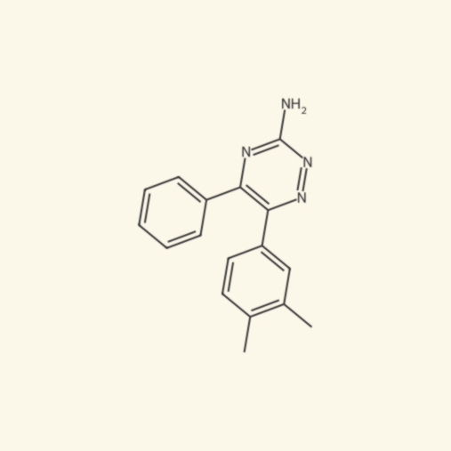 Cc1ccc(-c2nnc(N)nc2-c2ccccc2)cc1C